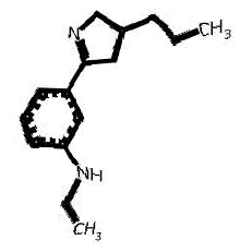 CCCC1CN=C(c2cccc(NCC)c2)C1